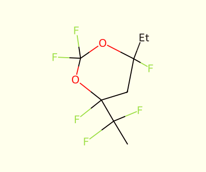 CCC1(F)CC(F)(C(C)(F)F)OC(F)(F)O1